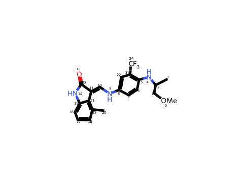 COCC(C)Nc1ccc(N/C=C2/C(=O)Nc3cccc(C)c32)cc1C(F)(F)F